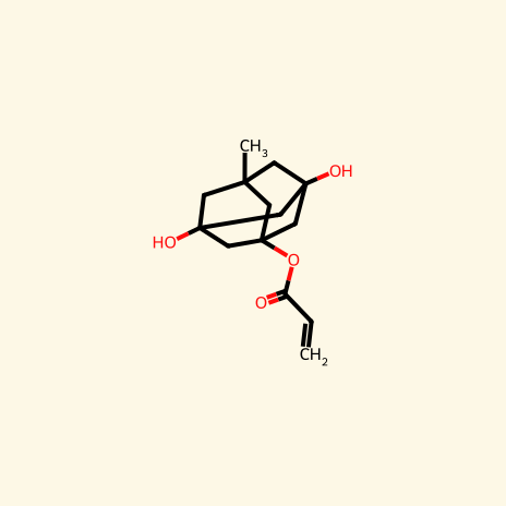 C=CC(=O)OC12CC3(C)CC(O)(CC(O)(C3)C1)C2